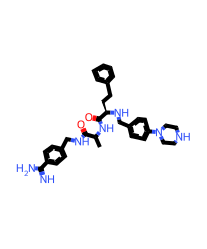 CC(NC(=O)[C@@H](CCc1ccccc1)NCc1ccc(N2CCNCC2)cc1)C(=O)NCc1ccc(C(=N)N)cc1